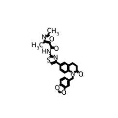 Cc1nc(C)c(C(=O)Nc2nc(-c3ccc4c(c3)CCC(=O)N4Cc3ccc4c(c3)OCO4)cs2)o1